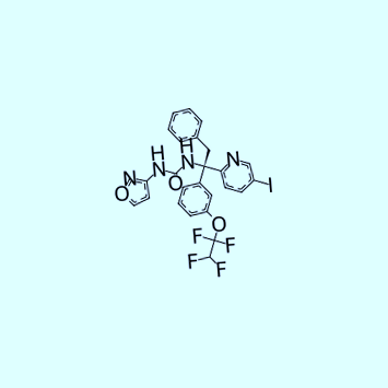 O=C(Nc1ccon1)N[C@@](Cc1ccccc1)(c1cccc(OC(F)(F)C(F)F)c1)c1ccc(I)cn1